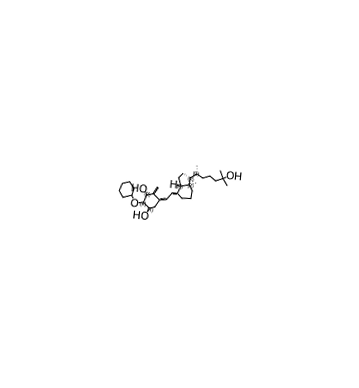 C=C1C(=CC=C2CCC[C@]3(C)[C@@H]([C@H](C)CCCC(C)(C)O)CC[C@@H]23)C[C@@H](O)[C@@H](OC2CCCCC2)[C@@H]1O